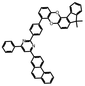 CC1(C)c2ccccc2-c2c1ccc1c2Oc2cccc(-c3ccc(-c4nc(-c5ccccc5)cc(-c5ccc6c(ccc7ccccc76)c5)n4)cc3)c2O1